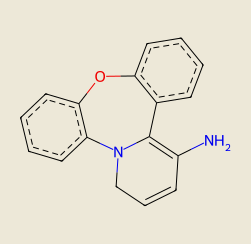 NC1=C2c3ccccc3Oc3ccccc3N2CC=C1